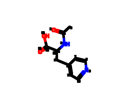 CC(=O)N[C@@H](Cc1ccncc1)C(=O)O